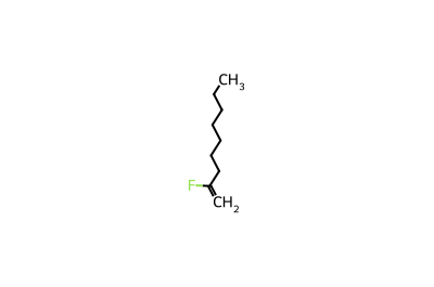 C=C(F)CCCCCCC